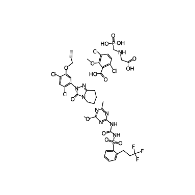 C#CCOc1cc(-n2nc3n(c2=O)CCCC3)c(Cl)cc1Cl.COc1c(Cl)ccc(Cl)c1C(=O)O.COc1nc(C)nc(NC(=O)NS(=O)(=O)c2ccccc2CCC(F)(F)F)n1.O=C(O)CNCP(=O)(O)O